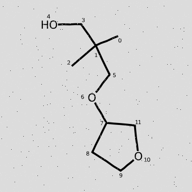 CC(C)(CO)COC1CCOC1